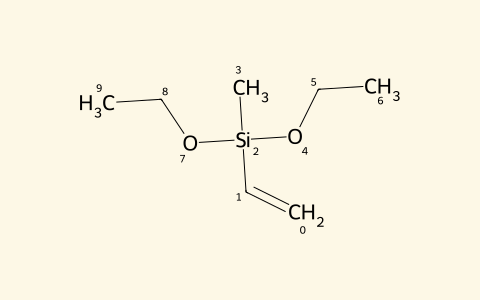 C=C[Si](C)(OCC)OCC